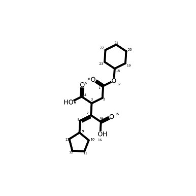 O=C(CC(C(=O)O)C(=CC1CCCC1)C(=O)O)OC1CCCCC1